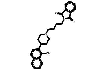 O=C1c2ccccc2C(=O)N1CCCCN1CCC(c2ccc3ccccc3c2O)CC1